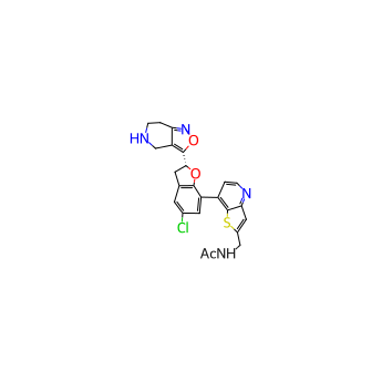 CC(=O)NCc1cc2nccc(-c3cc(Cl)cc4c3O[C@@H](c3onc5c3CNCC5)C4)c2s1